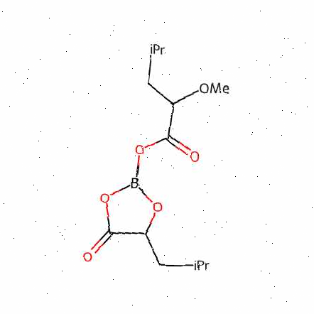 COC(CC(C)C)C(=O)OB1OC(=O)C(CC(C)C)O1